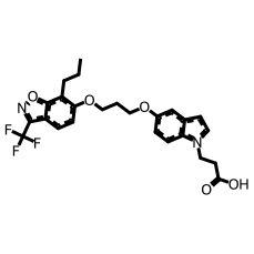 CCCc1c(OCCCOc2ccc3c(ccn3CCC(=O)O)c2)ccc2c(C(F)(F)F)noc12